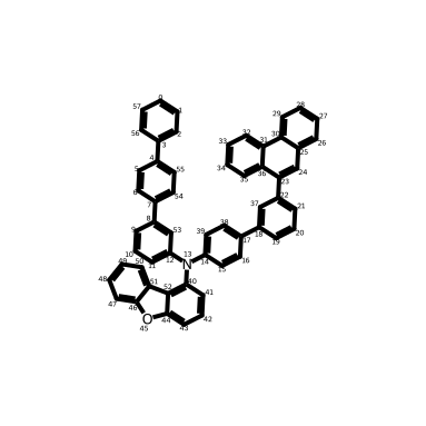 c1ccc(-c2ccc(-c3cccc(N(c4ccc(-c5cccc(-c6cc7ccccc7c7ccccc67)c5)cc4)c4cccc5oc6ccccc6c45)c3)cc2)cc1